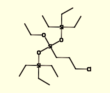 CCO[Si](CCCCl)(O[Si](CC)(CC)CC)O[Si](CC)(CC)CC